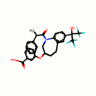 CC(C(=O)N1CC(Oc2cccc(C(=O)O)c2)CCc2cc(C(O)(C(F)(F)F)C(F)(F)F)ccc21)c1ccccc1